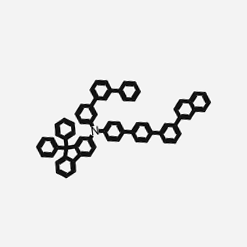 c1ccc(-c2cccc(-c3cccc(N(c4ccc(-c5ccc(-c6cccc(-c7ccc8ccccc8c7)c6)cc5)cc4)c4ccc5c(c4)C(c4ccccc4)(c4ccccc4)c4ccccc4-5)c3)c2)cc1